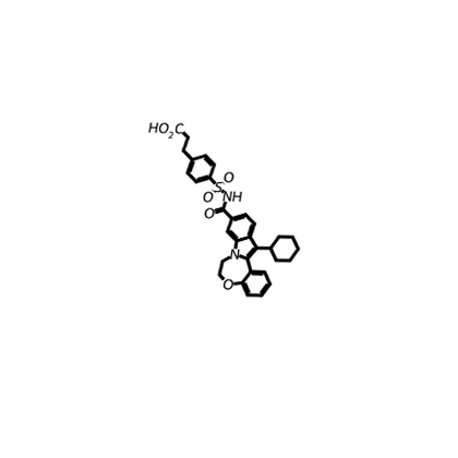 O=C(O)CCc1ccc(S(=O)(=O)NC(=O)c2ccc3c(C4CCCCC4)c4n(c3c2)CCOc2ccccc2-4)cc1